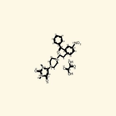 Cn1c(N2CCN(CCc3ccc([N+](=O)[O-])cc3C(=O)c3ccccc3)CC2)cc(=O)n(C)c1=O.O=C(O)C(=O)O